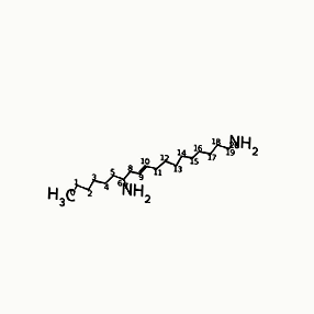 CCCCCCC(N)CC=CCCCCCCCCCN